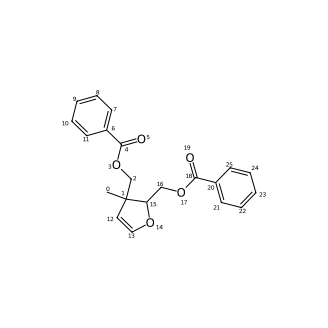 CC1(COC(=O)c2ccccc2)C=COC1COC(=O)c1ccccc1